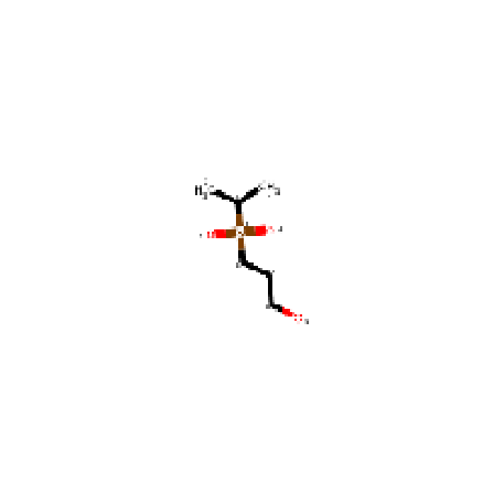 CC(C)S(=O)(=O)CCC[O]